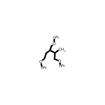 CCCOCCC(COCCC)C(C)COCCC